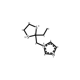 CCC1(Cn2ccnc2)SCCS1